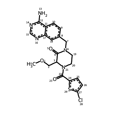 COCC1C(=O)N(Cc2ccc3c(N)ncnc3c2)CCN1C(=O)c1ccc(Cl)s1